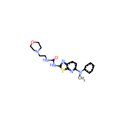 CN(c1ccccc1)c1ccc2nc(NC(=O)NCCN3CCOCC3)sc2n1